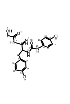 N=C(NC(=O)CO)C(Cc1ccc(Cl)cc1)NC(=O)Nc1ccc(Cl)cc1